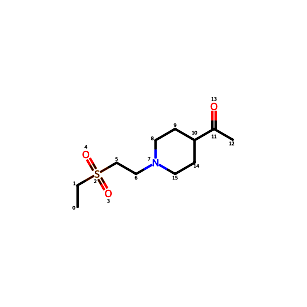 CCS(=O)(=O)CCN1CCC(C(C)=O)CC1